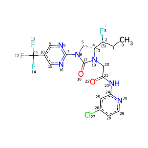 CC[C@H](F)[C@H]1CN(c2ncc(C(F)(F)F)cn2)C(=O)N1CC(=O)Nc1cc(Cl)ccn1